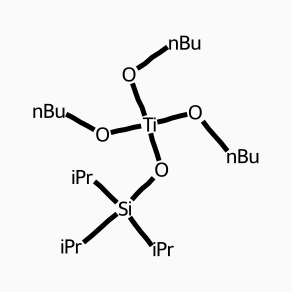 CCCC[O][Ti]([O]CCCC)([O]CCCC)[O][Si](C(C)C)(C(C)C)C(C)C